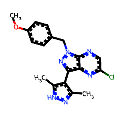 COc1ccc(Cn2nc(-c3c(C)n[nH]c3C)c3nc(Cl)cnc32)cc1